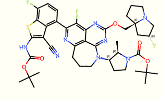 C[C@@H]1[C@H](N2CCCc3nc(-c4ccc(F)c5sc(NC(=O)OC(C)(C)C)c(C#N)c45)c(F)c4nc(OC[C@@]56CCCN5C[C@H](F)C6)nc2c34)CCN1C(=O)OC(C)(C)C